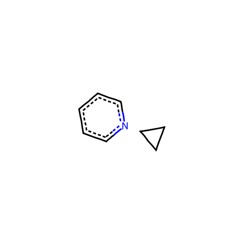 C1CC1.c1ccncc1